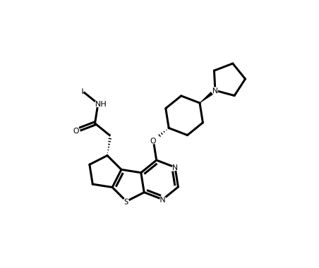 O=C(C[C@H]1CCc2sc3ncnc(O[C@H]4CC[C@H](N5CCCC5)CC4)c3c21)NI